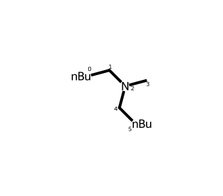 CCCCCN(C)CCCCC